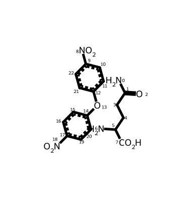 NC(=O)CCC(N)C(=O)O.O=[N+]([O-])c1ccc(Oc2ccc([N+](=O)[O-])cc2)cc1